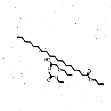 C=CCOC(=O)CCCCCCCCCCCCCCCCC.C=CCOCC(=O)O.C=COC(C)=O